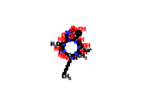 CCC/C=C/C/C=C/CC(=O)N[C@H]1C[C@@H](O)[C@H](O)NC(=O)[C@@H]2[C@@H](O)[C@@H](C)CN2C(=O)[C@H]([C@H](O)CC(N)=O)NC(=O)[C@H]([C@H](O)[C@@H](O)c2ccc(O)c(OS(=O)(=O)[O-])c2)NC(=O)[C@@H]2C[C@@H](O)CN2C(=O)[C@H]([C@@H](C)O)NC1=O.[Na+]